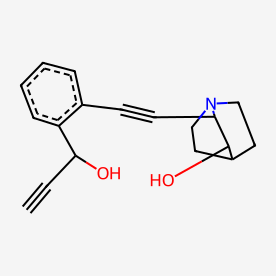 C#CC(O)c1ccccc1C#CC1C(O)C2CCN1CC2